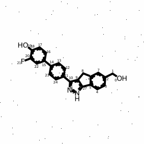 OCc1ccc2c(c1)Cc1c(-c3ccc(-c4ccc(O)c(F)c4)cc3)n[nH]c1-2